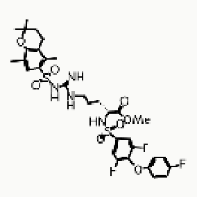 COC(=O)[C@@H](CCCNC(=N)NS(=O)(=O)c1cc(C)c2c(c1C)CCC(C)(C)O2)NS(=O)(=O)c1cc(F)c(Oc2ccc(F)cc2)c(F)c1